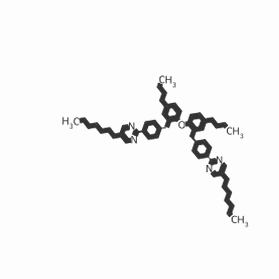 CCCCCCCc1cnc([C@H]2CC[C@H](Cc3cc(CCCC)ccc3Oc3ccc(CCCC)cc3C[C@H]3CC[C@H](c4ncc(CCCCCCC)cn4)CC3)CC2)nc1